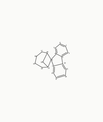 [c]1ccc2c(c1)C1(c3c[c]ccc3-2)C2CCCCC1C2